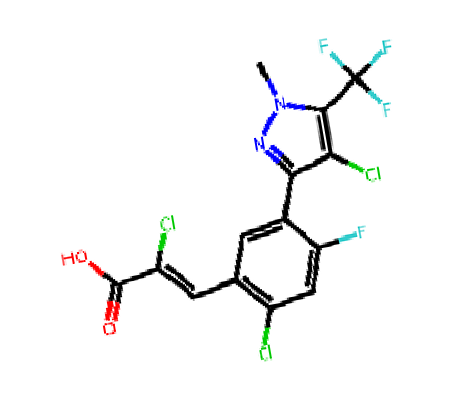 Cn1nc(-c2cc(C=C(Cl)C(=O)O)c(Cl)cc2F)c(Cl)c1C(F)(F)F